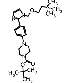 CC(C)(C)OC(=O)N1CCN(c2ccc(-c3nccn3COCCS(C)(C)C)cc2)CC1